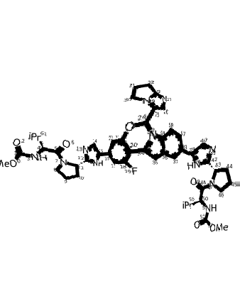 COC(=O)N[C@H](C(=O)N1CCC[C@H]1c1ncc(-c2cc(F)c3c(c2)OC(c2cnc4n2CCC4)n2c-3cc3cc(-c4cnc([C@@H]5CCCN5C(=O)[C@@H](NC(=O)OC)C(C)C)[nH]4)ccc32)[nH]1)C(C)C